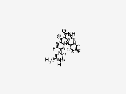 CC1CN(c2cc3c(cc2F)c(=O)c2c(=O)[nH]sc2n3-c2ccc(F)cc2F)CCN1